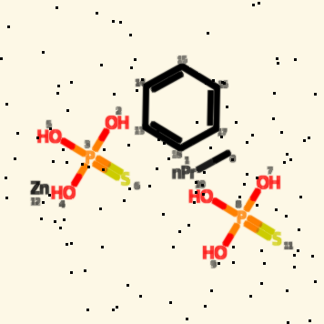 CCCC.OP(O)(O)=S.OP(O)(O)=S.[Zn].c1ccccc1